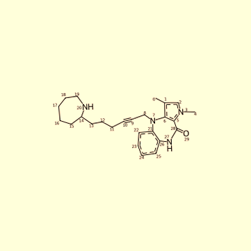 Cc1cn(C)c2c1N(CC#CCCCC1CCCCCN1)c1ccccc1NC2=O